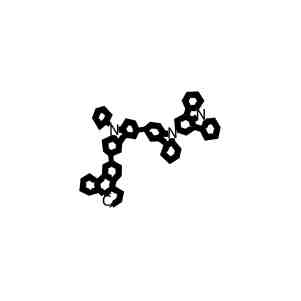 c1ccc(-n2c3ccc(-c4ccc5c6ccccc6c6ccccc6c5c4)cc3c3cc(-c4ccc5c(c4)c4ccccc4n5-c4cc5c6ccccc6n6c7ccccc7c(c4)c56)ccc32)cc1